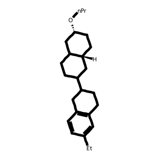 CCCO[C@@H]1CC[C@@H]2CC(C3CCc4cc(CC)ccc4C3)CCC2C1